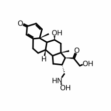 C[C@]12C=CC(=O)C=C1CC[C@@H]1C2[C@@H](O)C[C@@]2(C)C1C[C@@H](CNO)[C@@H]2C(=O)CO